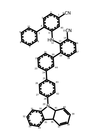 N#Cc1ccc(-c2ccccc2)c(Nc2c(C#N)cccc2-c2cccc(-c3ccc(N4c5ccccc5C5C=CC=CC54)cc3)c2)c1